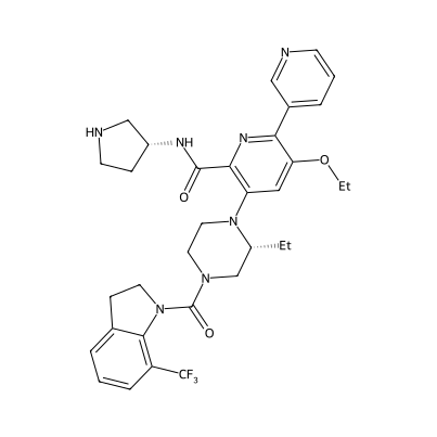 CCOc1cc(N2CCN(C(=O)N3CCc4cccc(C(F)(F)F)c43)C[C@H]2CC)c(C(=O)N[C@@H]2CCNC2)nc1-c1cccnc1